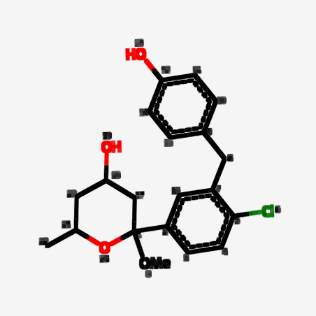 COC1(c2ccc(Cl)c(Cc3ccc(O)cc3)c2)CC(O)CC(C)O1